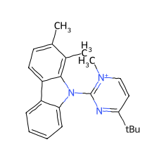 Cc1ccc2c3ccccc3n(-c3nc(C(C)(C)C)cc[n+]3C)c2c1C